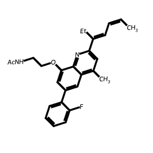 C/C=C\C=C(/CC)c1cc(C)c2cc(-c3ccccc3F)cc(OCCNC(C)=O)c2n1